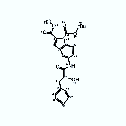 CC(C)(C)OC(=O)c1cc2cc(NC(=O)[C@H](O)Cc3ccccc3)ccc2n1C(=O)OC(C)(C)C